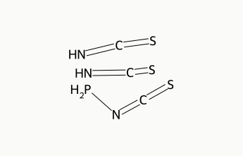 N=C=S.N=C=S.PN=C=S